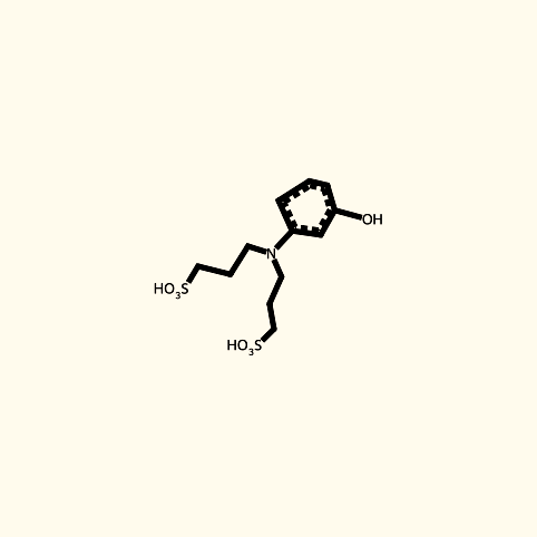 O=S(=O)(O)CCCN(CCCS(=O)(=O)O)c1cccc(O)c1